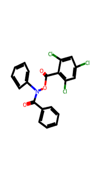 O=C(ON(C(=O)c1ccccc1)c1ccccc1)c1c(Cl)cc(Cl)cc1Cl